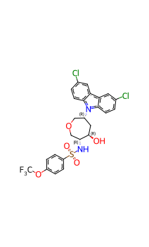 O=S(=O)(N[C@@H]1COC[C@H](n2c3ccc(Cl)cc3c3cc(Cl)ccc32)C[C@H]1O)c1ccc(OC(F)(F)F)cc1